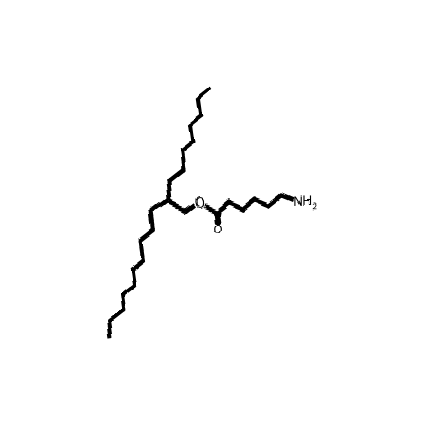 CCCCCCCCCCC(CCCCCCCC)COC(=O)CCCCCN